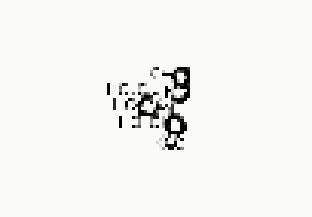 O=C(O)[C@H]1O[C@@H](N(c2ccc3c(c2)OCO3)c2ccc3cccc(Cl)c3n2)[C@H](O)[C@@H](O)[C@@H]1O